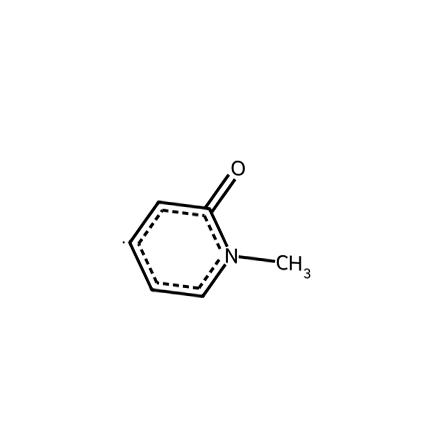 Cn1cc[c]cc1=O